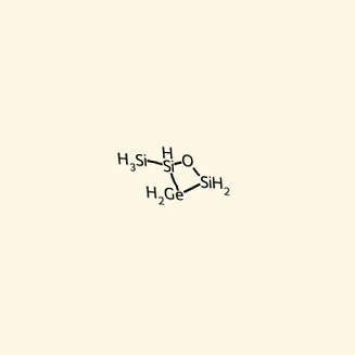 [SiH3][SiH]1O[SiH2][GeH2]1